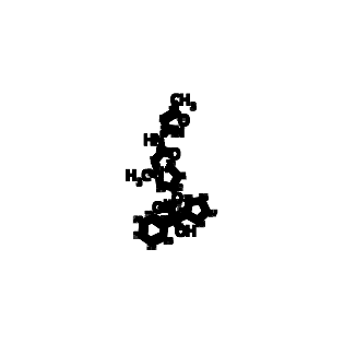 Cc1cc(NC(=O)C[N+]2(C)CC[C@@H](OC(=O)C(O)(c3ccccc3)C3CCCC3)C2)no1